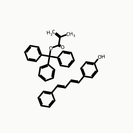 C=C(C)C(=O)OC(c1ccccc1)(c1ccccc1)c1ccccc1.Oc1ccc(C=CC=Cc2ccccc2)cc1